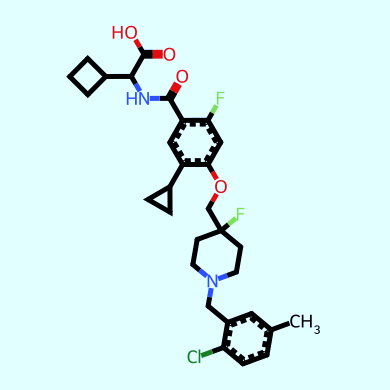 Cc1ccc(Cl)c(CN2CCC(F)(COc3cc(F)c(C(=O)NC(C(=O)O)C4CCC4)cc3C3CC3)CC2)c1